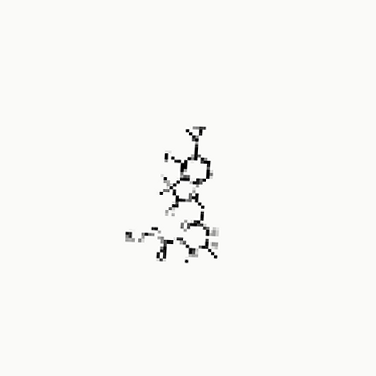 C[C@H](NC(=O)CN1C(=O)C(C)(C)c2c1ccc(C1CC1)c2F)[C@@H](C)CC(=O)OC(C)(C)C